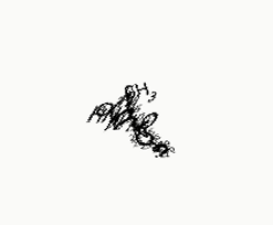 CN1CC(=O)Nc2ncc(/C=C/C(=O)N3CC=C(c4cccs4)CCC3)cc2C1